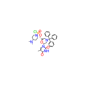 Cc1cn(C2CN(C(c3ccccc3)(c3ccccc3)c3ccccc3)C[C@@H](COP(=O)(Cl)N3CCC(N(C)C)CC3)O2)c(=O)[nH]c1=O